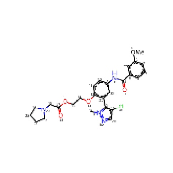 COc1cccc(C(=O)Nc2ccc(OCCOC(=O)CN3CCCC3)c(-c3c(Cl)cnn3C)c2)c1